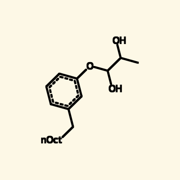 CCCCCCCCCc1cccc(OC(O)C(C)O)c1